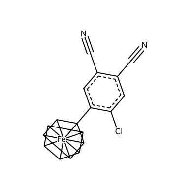 N#Cc1cc(Cl)c([C]23[CH]4[CH]5[CH]6[CH]2[Fe]56432789[CH]3[CH]2[CH]7[CH]8[CH]39)cc1C#N